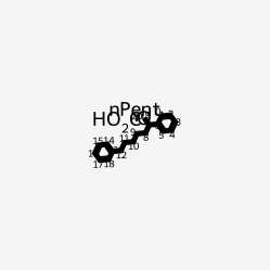 CCCCCc1ccccc1C(CCCCCc1ccccc1)OC(=O)O